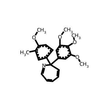 COc1ccc(C2(c3cc(OC)c(OC)c(OC)c3)C=CC=CC=N2)cc1C